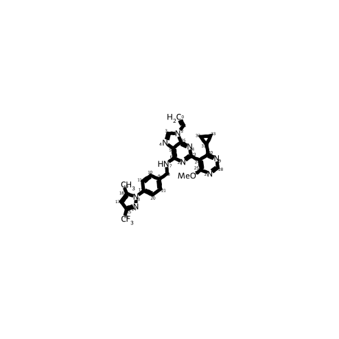 C=Cn1cnc2c(NCc3ccc(-n4nc(C(F)(F)F)cc4C)cc3)nc(-c3c(OC)ncnc3C3CC3)nc21